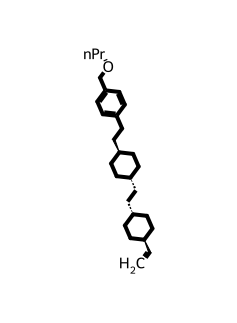 C=C[C@H]1CC[C@H](CC[C@H]2CC[C@H](CCc3ccc(COCCC)cc3)CC2)CC1